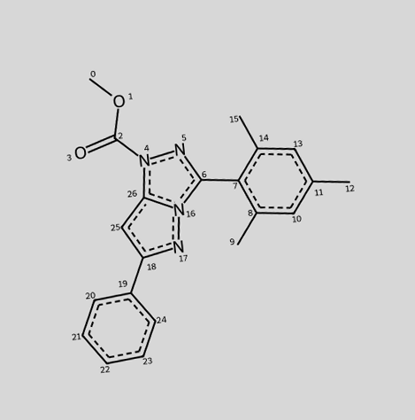 COC(=O)n1nc(-c2c(C)cc(C)cc2C)n2nc(-c3ccccc3)cc12